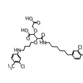 Cc1ccc(CCCCCCNC(=O)C(OCCCCNc2ccc(C)c(Cl)c2)C(OCC(=O)O)C(=O)O)cc1Cl